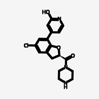 O=C([C@@H]1Cc2cc(Cl)cc(-c3ccnc(O)c3)c2O1)N1CCNCC1